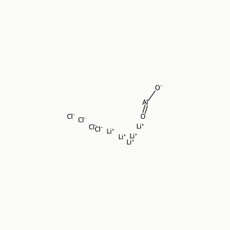 [Cl-].[Cl-].[Cl-].[Cl-].[Li+].[Li+].[Li+].[Li+].[Li+].[O]=[Al][O-]